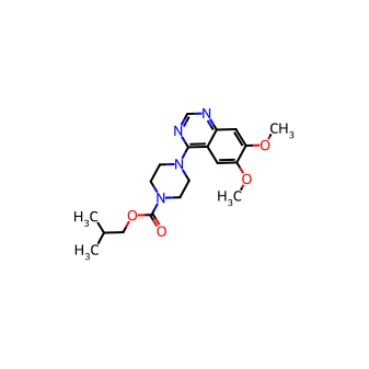 COc1cc2ncnc(N3CCN(C(=O)OCC(C)C)CC3)c2cc1OC